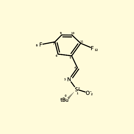 CC(C)(C)[S@@+]([O-])N=Cc1cc(F)ccc1F